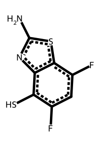 Nc1nc2c(S)c(F)cc(F)c2s1